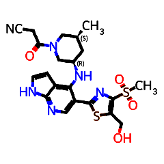 C[C@H]1C[C@@H](Nc2c(-c3nc(S(C)(=O)=O)c(CO)s3)cnc3[nH]ccc23)CN(C(=O)CC#N)C1